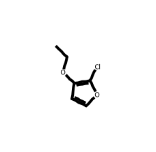 CCOc1ccoc1Cl